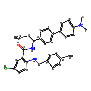 CN(C)c1ccc(-c2ccc(C(CC(=O)O)NC(=O)c3cc(Cl)ccc3NCc3ccc(C(C)(C)C)cc3)cc2)cc1